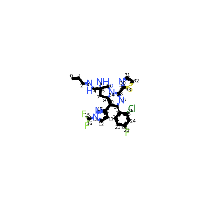 C=CCNC[C@@]1(N)CC2=C(c3ccn(C(F)F)n3)[C@H](c3ccc(F)cc3Cl)N=C(c3nccs3)N2C1